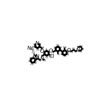 Cc1c(COc2cc(OCc3cncc(C#N)c3)c(CN(C)Cc3nn(C)c4ccccc34)cc2Cl)cccc1-c1cccc(OCCCN2CCCC2)c1C